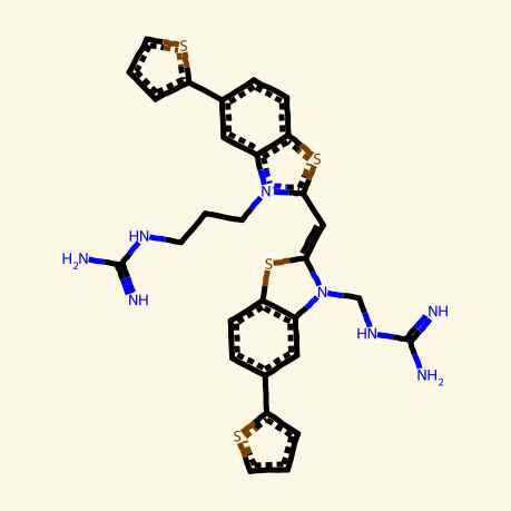 N=C(N)NCCC[n+]1c(C=C2Sc3ccc(-c4cccs4)cc3N2CNC(=N)N)sc2ccc(-c3cccs3)cc21